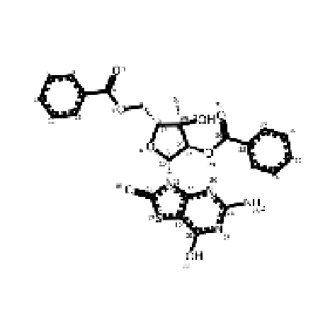 C[C@@]1(O)[C@@H](COC(=O)c2ccccc2)O[C@@H](n2c(=O)sc3c(O)nc(N)nc32)[C@@H]1OC(=O)c1ccccc1